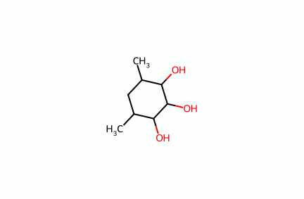 CC1CC(C)C(O)C(O)C1O